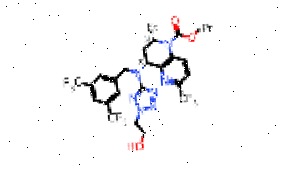 CC[C@H]1C[C@@H](N(Cc2cc(C(F)(F)F)cc(C(F)(F)F)c2)c2nnn(CCO)n2)c2nc(C(F)(F)F)ccc2N1C(=O)OC(C)C